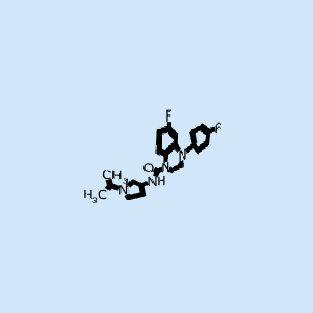 CC(C)N1CCC(NC(=O)N2CCN(c3ccc(F)cc3)c3cc(F)ccc32)C1